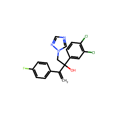 C=C(c1ccc(F)cc1)C(O)(Cn1cncn1)c1ccc(Cl)c(Cl)c1